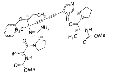 C/C=C(/Oc1ccccc1)C(C)(C#CC#Cc1cnc([C@@H]2CCCN2C(=O)[C@@H](C)NC(=O)OC)[nH]1)/N=C(\N)[C@@H]1CCCN1C(=O)[C@@H](NC(=O)OC)C(C)C